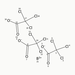 O=C([O-])C(Cl)(Cl)Cl.O=C([O-])C(Cl)(Cl)Cl.O=C([O-])C(Cl)(Cl)Cl.[B+3]